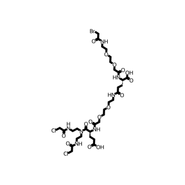 O=C(O)CC[C@H](NC(=O)COCCOCCNC(=O)CC[C@H](NC(=O)COCCOCCNC(=O)CBr)C(=O)O)C(=O)N(CCNC(=O)CCl)CCNC(=O)CCl